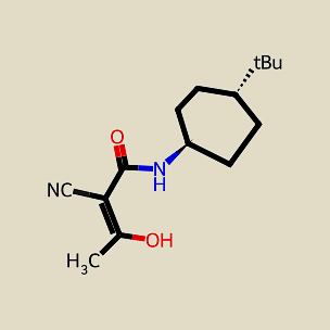 CC(O)=C(C#N)C(=O)N[C@H]1CC[C@H](C(C)(C)C)CC1